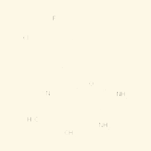 Cc1nc(-c2ccc(F)c(Cl)c2)c2oc(N)c(N)c2c1C